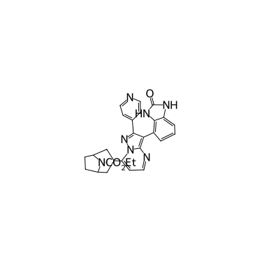 CCOC(=O)N1C2CCC1CC(c1ccnc3c(-c4cccc5[nH]c(=O)[nH]c45)c(-c4ccncc4)nn13)C2